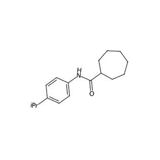 CC(C)c1ccc(NC(=O)C2CCCCCC2)cc1